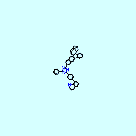 c1ccc(-c2nc(-c3ccc(-c4cccc5cccnc45)cc3)nc(-c3ccc4cc5c(cc4c3)-c3ccccc3C53C4CC5CC(C4)CC3C5)n2)cc1